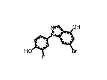 Oc1ccc(-n2ncc3c(O)cc(Br)cc32)cc1F